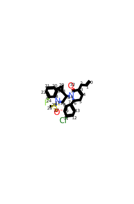 C=CCC1=CCC(c2ccc(Cl)cc2)N(C(CN(c2ccccc2F)[S+](C)[O-])C2CC2)C1=O